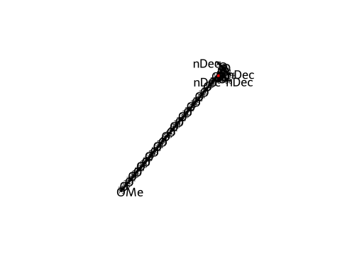 CCCCCCCCCCCCOP(=O)(CN(CCOCCOCCOCCOCCOCCOCCOCCOCCOCCOCCOCCOCCOCCOCCOCCOCCOCCOCCOCCOCCOCCOCCOCCOC)CP(=O)(OCCCCCCCCCCCC)OCCCCCCCCCCCC)OCCCCCCCCCCCC